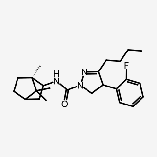 CCCCC1=NN(C(=O)NC2CC3CC[C@]2(C)C3(C)C)CC1c1ccccc1F